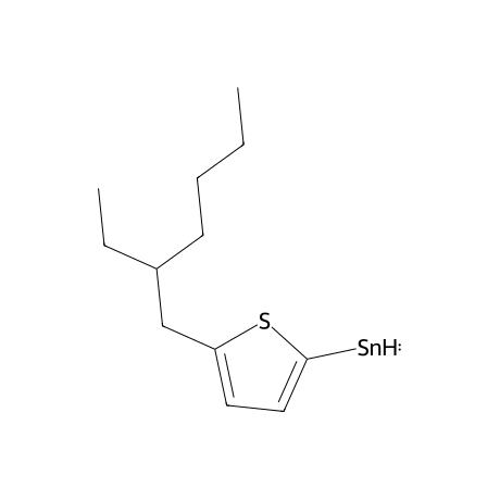 CCCCC(CC)Cc1cc[c]([SnH])s1